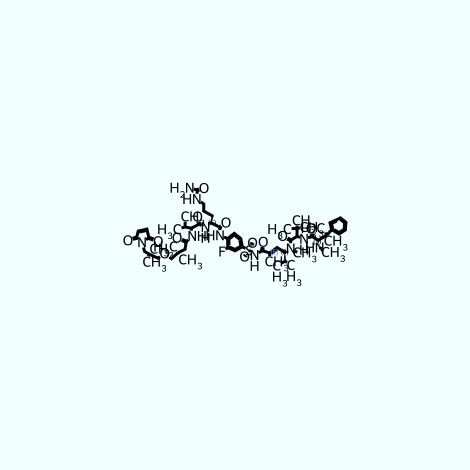 CN[C@H](C(=O)NC(C(=O)N(C)[C@H](/C=C(\C)C(=O)NS(=O)(=O)c1ccc(NC(=O)[C@H](CCCNC(N)=O)NC(=O)C(NC(=O)CC(C)(C)COCC(C)(C)CN2C(=O)C=CC2=O)C(C)C)c(F)c1)C(C)C)C(C)(C)C)C(C)(C)c1ccccc1